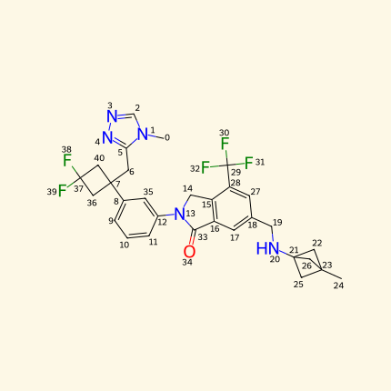 Cn1cnnc1CC1(c2cccc(N3Cc4c(cc(CNC56CC(C)(C5)C6)cc4C(F)(F)F)C3=O)c2)CC(F)(F)C1